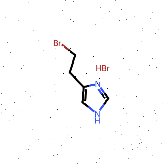 Br.BrCCc1c[nH]cn1